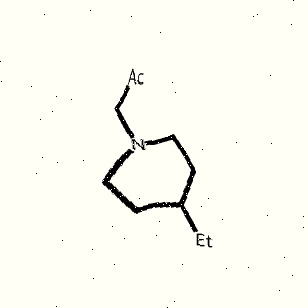 CCC1CCN(CC(C)=O)CC1